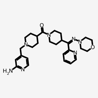 Nc1cc(CN2CCC(C(=O)N3CCC(C(=NN4CCOCC4)c4ccccn4)CC3)CC2)ccn1